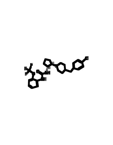 O=C(Nc1ccccc1OC(F)(F)F)N[C@@H]1CCC[C@H]1N1CCC(Cc2ccc(Cl)cc2)CC1